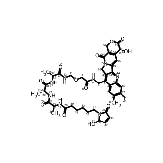 Cc1cc2c(CNC(=O)COCNC(=O)[C@H](C)NC(=O)[C@@H](C)NC(=O)[C@H](C)NC(=O)CCCCCN3C(=O)C=CC3O)c3c(nc2cc1F)-c1cc2c(c(=O)n1C3)COC(=O)[C@H]2O